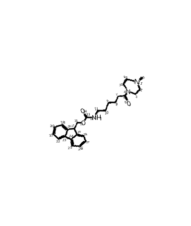 CN1CCN(C(=O)CCCCCNC(=O)OCC2c3ccccc3-c3ccccc32)CC1